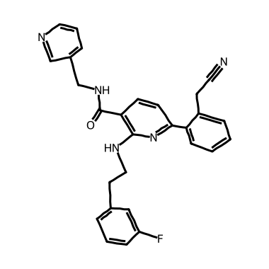 N#CCc1ccccc1-c1ccc(C(=O)NCc2cccnc2)c(NCCc2cccc(F)c2)n1